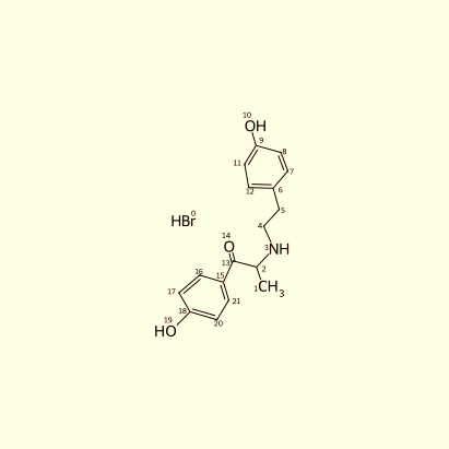 Br.CC(NCCc1ccc(O)cc1)C(=O)c1ccc(O)cc1